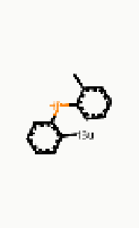 Cc1ccccc1Pc1ccccc1C(C)(C)C